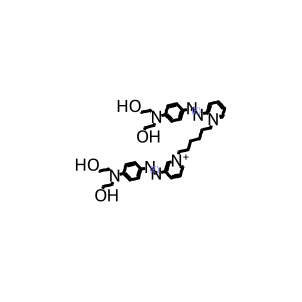 OCCN(CCO)c1ccc(/N=N/c2ccc[n+](CCCCCC[n+]3ccccc3/N=N/c3ccc(N(CCO)CCO)cc3)c2)cc1